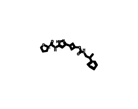 CC(CNC(=O)OC1CC(c2cc(NC(=O)[C@H]3CCCO3)[nH]n2)C1)c1ccccc1